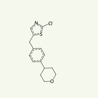 Clc1ncc(Cc2ccc(C3CCOCC3)cc2)s1